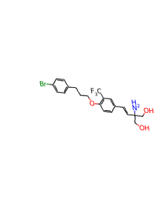 NC(C=Cc1ccc(OCCCc2ccc(Br)cc2)c(C(F)(F)F)c1)(CO)CO